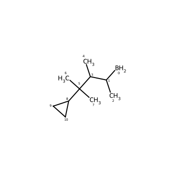 BC(C)C(C)C(C)(C)C1CC1